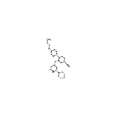 Cc1cc(Oc2cc(C#N)ccc2-c2ccc(OCCN)cn2)cc(N2CCOCC2)n1